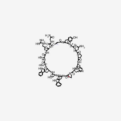 CCCC[C@H]1C(=O)N(C)[C@@H](CCCC)C(=O)N[C@@H](CCCNC(=N)N)C(=O)N[C@H](C(=O)NCC(N)=O)C/C=C/C(=O)N[C@@H](Cc2ccc(O)cc2)C(=O)N(C)[C@@H](C)C(=O)N[C@@H](CC(N)=O)C(=O)N2CCCC2C(=O)N[C@@H](Cc2cnc[nH]2)C(=O)N[C@@H](CC(C)C)C(=O)N2CCC[C@H]2C(=O)N[C@@H](Cc2c[nH]c3ccccc23)C(=O)N[C@@H](CO)C(=O)N[C@@H](Cc2c[nH]c3ccccc23)C(=O)N1C